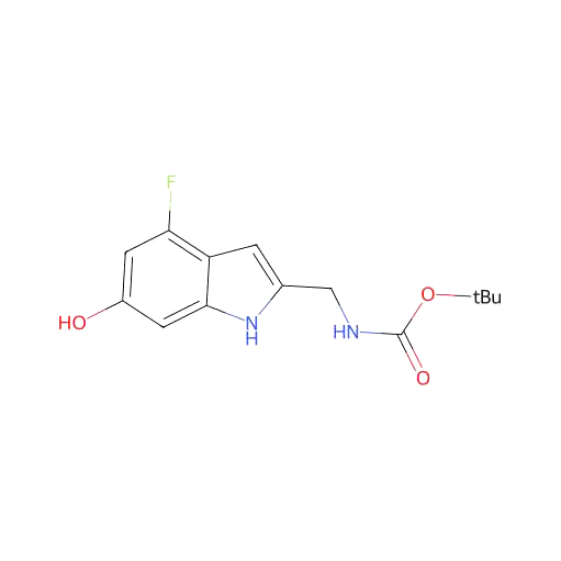 CC(C)(C)OC(=O)NCc1cc2c(F)cc(O)cc2[nH]1